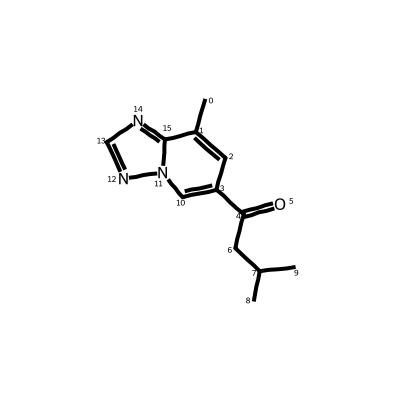 Cc1cc(C(=O)CC(C)C)cn2ncnc12